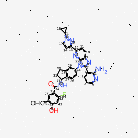 Nc1ncccc1-c1nc2ccc(-c3ccn(C4CC4)n3)nc2n1-c1ccc2c(c1)CC[C@@H]2NC(=O)c1cc(C=O)c(O)cc1F